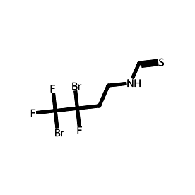 FC(F)(Br)C(F)(Br)CCNC=S